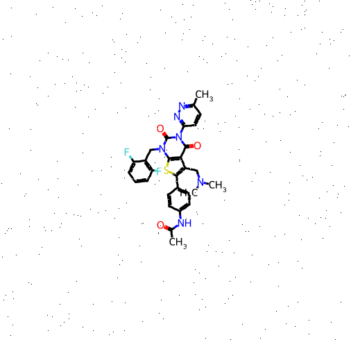 CC(=O)Nc1ccc(-c2sc3c(c2CN(C)C)c(=O)n(-c2ccc(C)nn2)c(=O)n3Cc2c(F)cccc2F)cc1